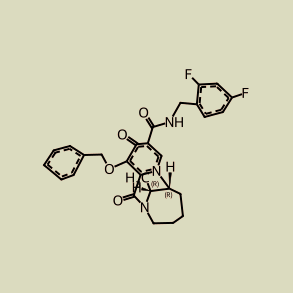 C[C@@H]1[C@H]2CCCCN1C(=O)c1c(OCc3ccccc3)c(=O)c(C(=O)NCc3ccc(F)cc3F)cn12